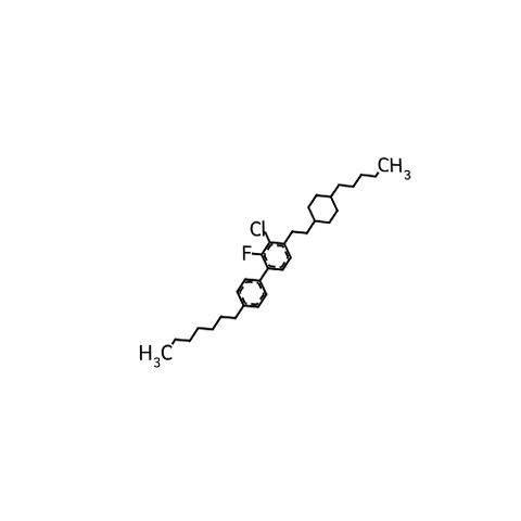 CCCCCCCc1ccc(-c2ccc(CCC3CCC(CCCCC)CC3)c(Cl)c2F)cc1